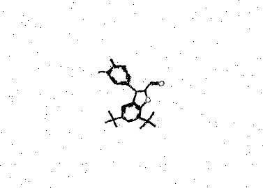 Cc1ccc(C2c3cc(C(C)(C)C)cc(C(C)(C)C)c3OC2C=O)cc1C